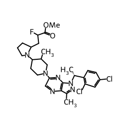 COC(=O)C(F)CC1CCCN1C1CCN(c2cnc3c(C)nn([C@H](C)c4ccc(Cl)cc4Cl)c3n2)CC1C